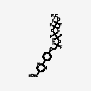 CCCCCCCCCCc1cnc(-c2ccc(OCC(F)(F)OC(F)(F)C(F)(F)OC(F)(F)C(F)(F)OC(F)(F)F)cc2)nc1